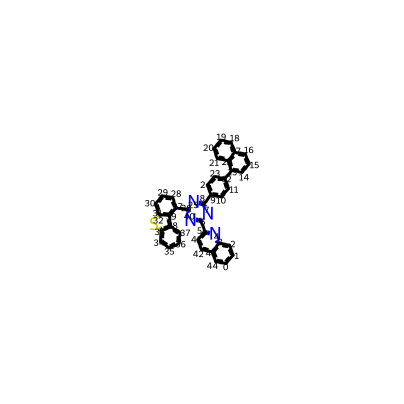 c1ccc2nc(-c3nc(-c4ccc(-c5cccc6ccccc56)cc4)nc(-c4cccc5sc6ccccc6c45)n3)ccc2c1